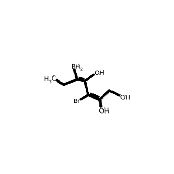 B/C(CC)=C(O)/C(Br)=C(/O)CO